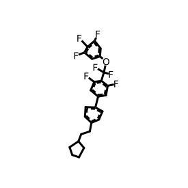 Fc1cc(OC(F)(F)c2c(F)cc(-c3ccc(CCC4CCCC4)cc3)cc2F)cc(F)c1F